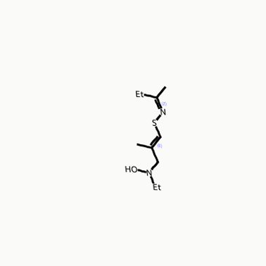 CC/C(C)=N\S/C=C(\C)CN(O)CC